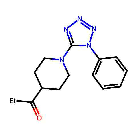 CCC(=O)C1CCN(c2nnnn2-c2ccccc2)CC1